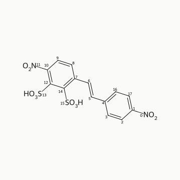 O=[N+]([O-])c1ccc(C=Cc2ccc([N+](=O)[O-])c(S(=O)(=O)O)c2S(=O)(=O)O)cc1